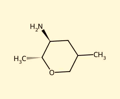 CC1CO[C@H](C)[C@@H](N)C1